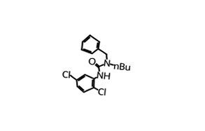 CCCCN(Cc1ccccc1)C(=O)Nc1cc(Cl)ccc1Cl